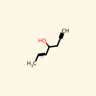 C#CCC(O)/C=C/C